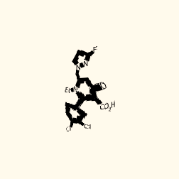 CCn1c(Cn2ccc(F)n2)cc(=O)c(C(=O)O)c1-c1ccc(Cl)c(Cl)c1